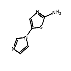 Nc1ncc(-n2ccnc2)s1